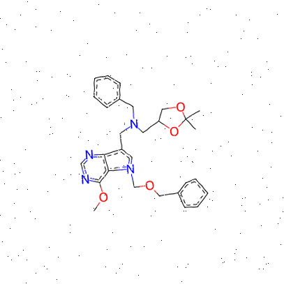 COc1ncnc2c(CN(Cc3ccccc3)CC3COC(C)(C)O3)cn(COCc3ccccc3)c12